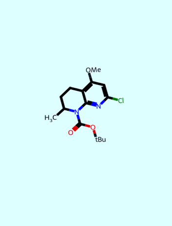 COc1cc(Cl)nc2c1CCC(C)N2C(=O)OC(C)(C)C